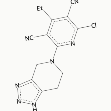 CCc1c(C#N)c(Cl)nc(N2CCc3[nH]nnc3C2)c1C#N